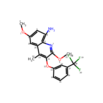 COc1cc(N)c2nc(OC)c(Oc3cccc(C(F)(F)F)c3)c(C)c2c1